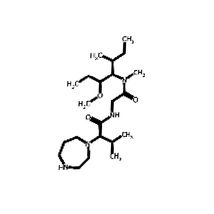 CCC(C)C(C(CC)OC)N(C)C(=O)CNC(=O)C(C(C)C)N1CCCNCC1